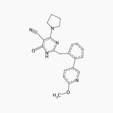 COc1ccc(-c2ccccc2Cc2nc(N3CCCC3)c(C#N)c(=O)[nH]2)cn1